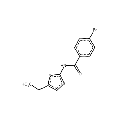 O=C(O)Cc1csc(NC(=O)c2ccc(Br)cc2)n1